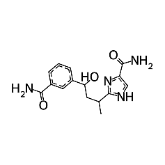 CC(CC(O)c1cccc(C(N)=O)c1)c1nc(C(N)=O)c[nH]1